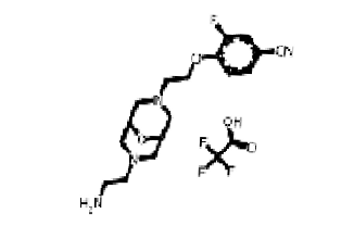 N#Cc1ccc(OCCN2CC3CN(CCN)CC(C2)O3)c(F)c1.O=C(O)C(F)(F)F